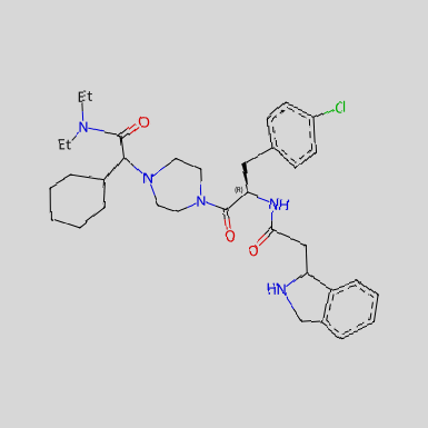 CCN(CC)C(=O)C(C1CCCCC1)N1CCN(C(=O)[C@@H](Cc2ccc(Cl)cc2)NC(=O)CC2NCc3ccccc32)CC1